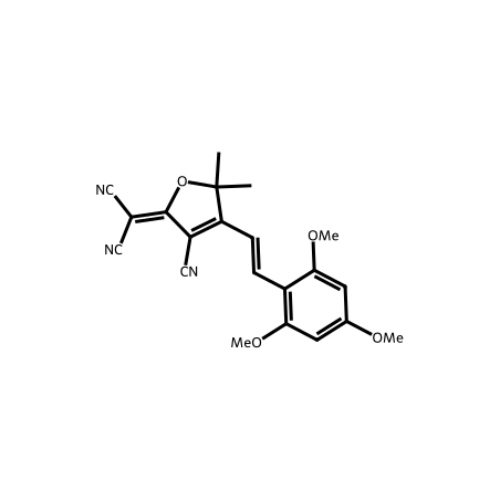 COc1cc(OC)c(C=CC2=C(C#N)C(=C(C#N)C#N)OC2(C)C)c(OC)c1